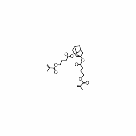 C=C(C)C(=O)OCCCC(=O)OC12CC3CC(C1)CC(OC(=O)CCCOC(=O)C(=C)C)(C3)C2